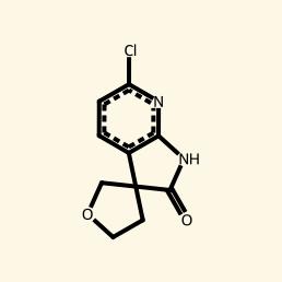 O=C1Nc2nc(Cl)ccc2C12CCOC2